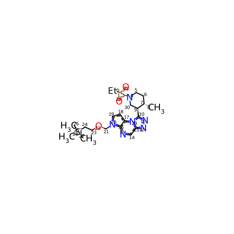 CCS(=O)(=O)N1CC[C@H](C)[C@@H](c2nnc3cnc4c(ccn4COCC[Si](C)(C)C)n23)C1